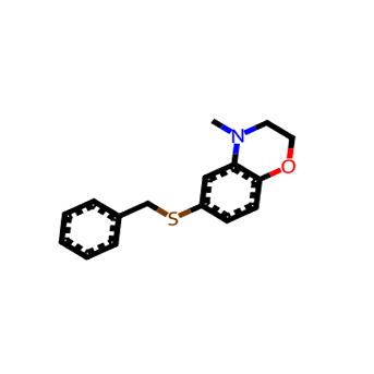 CN1CCOc2ccc(SCc3ccccc3)cc21